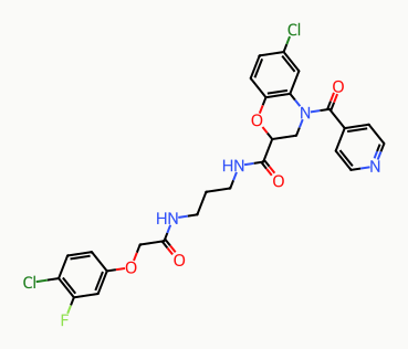 O=C(COc1ccc(Cl)c(F)c1)NCCCNC(=O)C1CN(C(=O)c2ccncc2)c2cc(Cl)ccc2O1